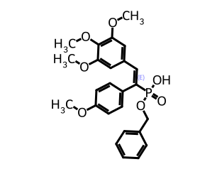 COc1ccc(/C(=C\c2cc(OC)c(OC)c(OC)c2)P(=O)(O)OCc2ccccc2)cc1